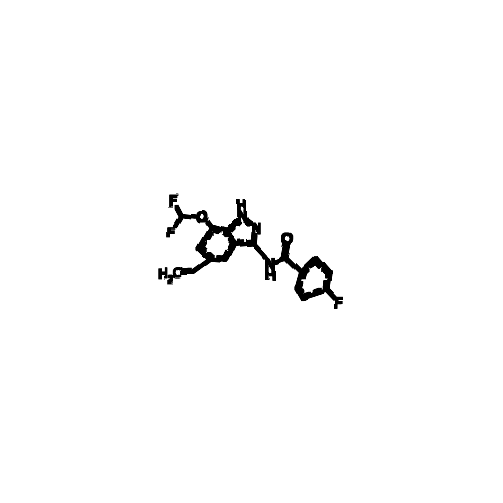 C=Cc1cc(OC(F)F)c2[nH]nc(NC(=O)c3ccc(F)cc3)c2c1